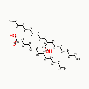 CCCCCCCCCCC(CO)CCCCCCCC.CCCCCCCCCCCCCC(=O)O